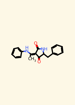 CC(Nc1ccccc1)=C1C(=O)NC(Cc2ccccc2)C1=O